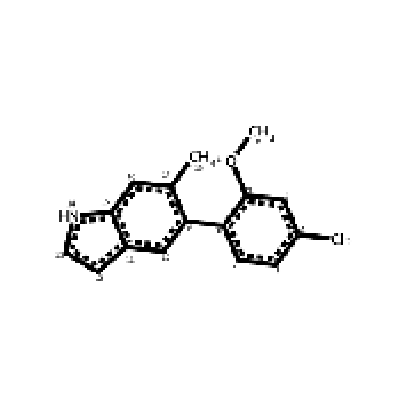 COc1cc(Cl)ccc1-c1cc2cc[nH]c2cc1C